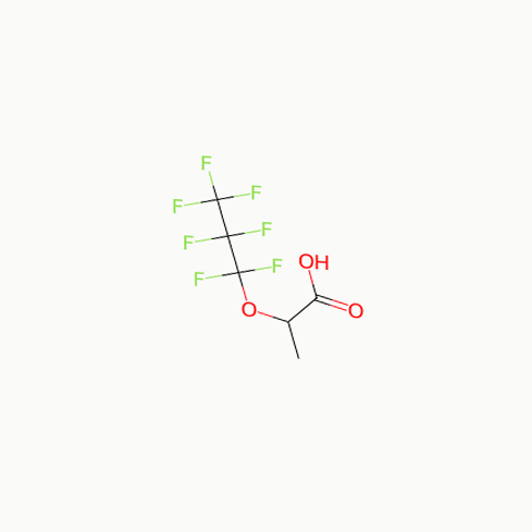 CC(OC(F)(F)C(F)(F)C(F)(F)F)C(=O)O